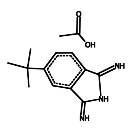 CC(=O)O.CC(C)(C)c1ccc2c(c1)C(=N)NC2=N